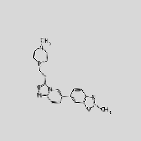 Cc1nc2ccc(-c3ccc4nnc(CCN5CCN(C)CC5)n4c3)cc2o1